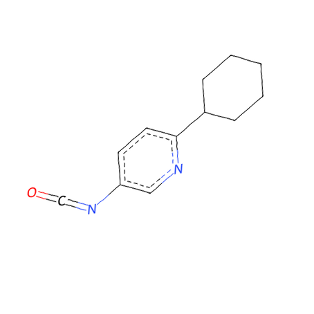 O=C=Nc1ccc(C2CCCCC2)nc1